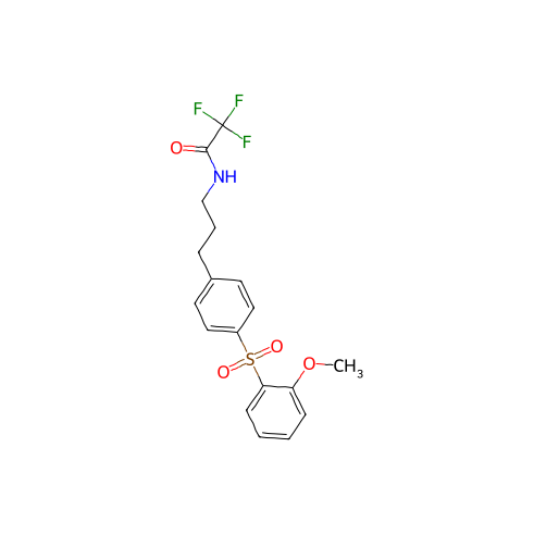 COc1ccccc1S(=O)(=O)c1ccc(CCCNC(=O)C(F)(F)F)cc1